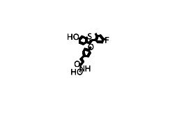 Cc1cc(F)ccc1-c1sc2cc(O)ccc2c1Oc1ccc(/C=C/C(=O)NO)cc1